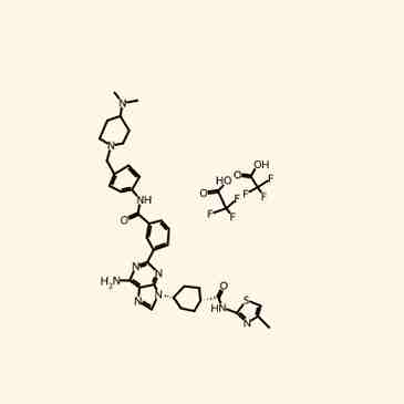 Cc1csc(NC(=O)[C@H]2CC[C@@H](n3cnc4c(N)nc(-c5cccc(C(=O)Nc6ccc(CN7CCC(N(C)C)CC7)cc6)c5)nc43)CC2)n1.O=C(O)C(F)(F)F.O=C(O)C(F)(F)F